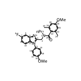 CCCN(Cc1nc2cc(F)ccc2n1-c1ccc(OC)cc1)C(=O)c1c(C)cc(OC)cc1C